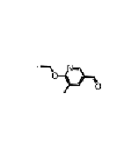 [CH2]COc1ncc(C=O)cc1C